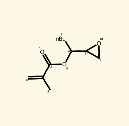 C=C(C)C(=O)OC(CCCC)C1CO1